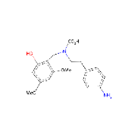 COc1cc(O)c(CN(CCc2ccc(N)cc2)C(=O)O)c(OC)c1